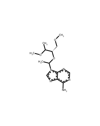 COC[C@H](OC(C)n1cnc2c(N)ncnc21)C(C)OC